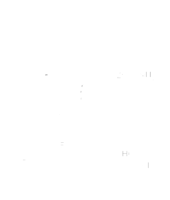 CC1=C(C)C(C)[C]([Zr]([CH3])([CH3])(=[SiH2])[CH]2C=C(c3c(F)ccc(F)c3F)c3ccccc32)=C1C.Cl.Cl